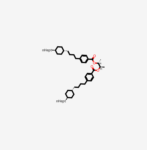 CCCCCCC[C@H]1CC[C@H](CCCCc2ccc(C(=O)O[C@H](C)[C@@H](C)OC(=O)c3ccc(CCCC[C@H]4CC[C@H](CCCCCCC)CC4)cc3)cc2)CC1